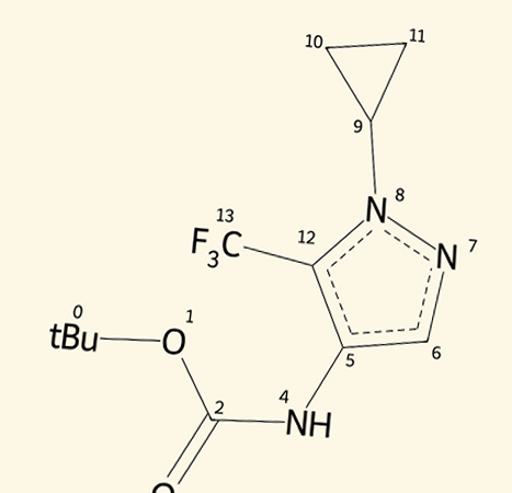 CC(C)(C)OC(=O)Nc1cnn(C2CC2)c1C(F)(F)F